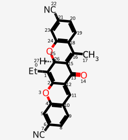 CCC1=C2Oc3cc(C#N)ccc3C=C2C(=O)C2=C(C)c3ccc(C#N)cc3O[C@H]12